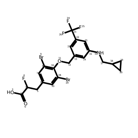 O=C(O)C(F)Cc1cc(Br)c(OCc2cc(NCC3CC3)cc(C(F)(F)F)c2)c(Br)c1